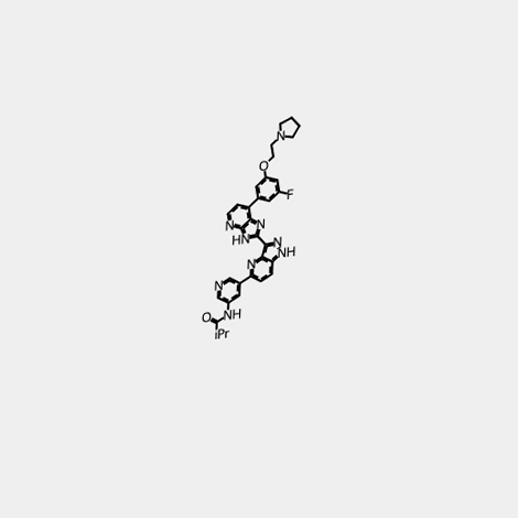 CC(C)C(=O)Nc1cncc(-c2ccc3[nH]nc(-c4nc5c(-c6cc(F)cc(OCCN7CCCC7)c6)ccnc5[nH]4)c3n2)c1